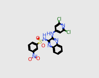 O=[N+]([O-])c1cccc(S(=O)(=O)Nc2nc3ccccc3nc2Nc2cc(Cl)nc(Cl)c2)c1